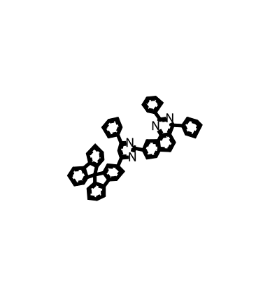 c1ccc(-c2cc(-c3ccc4c(c3)C3(c5ccccc5-c5ccccc53)c3ccccc3-4)nc(-c3ccc4ccc5c(-c6ccccc6)nc(-c6ccccc6)nc5c4c3)n2)cc1